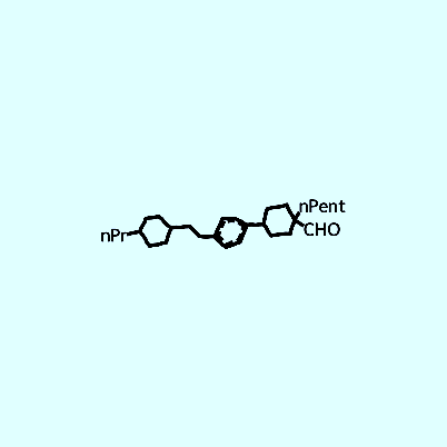 CCCCCC1(C=O)CCC(c2ccc(CCC3CCC(CCC)CC3)cc2)CC1